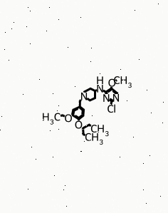 CCOc1cc(CN2CCC(Nc3nc(Cl)ncc3OC)CC2)ccc1OC(CC)CC